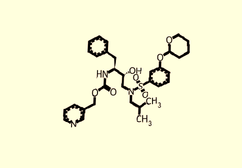 CC(C)CN(C[C@@H](O)[C@H](Cc1ccccc1)NC(=O)OCc1cccnc1)S(=O)(=O)c1cccc(OC2CCCCO2)c1